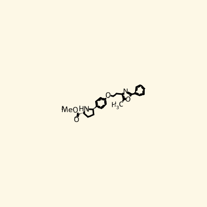 COC(=O)[C@H]1CC[C@H](c2ccc(OCCc3nc(-c4ccccc4)oc3C)cc2)N1